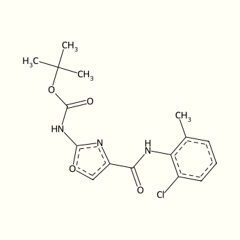 Cc1cccc(Cl)c1NC(=O)c1coc(NC(=O)OC(C)(C)C)n1